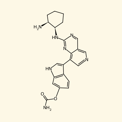 NC(=O)Oc1ccc2c(-c3cncc4cnc(N[C@@H]5CCCC[C@@H]5N)nc34)c[nH]c2c1